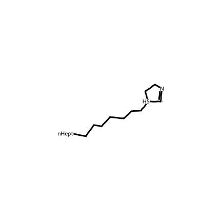 CCCCCCCCCCCCCC[SH]1[C]=NCC1